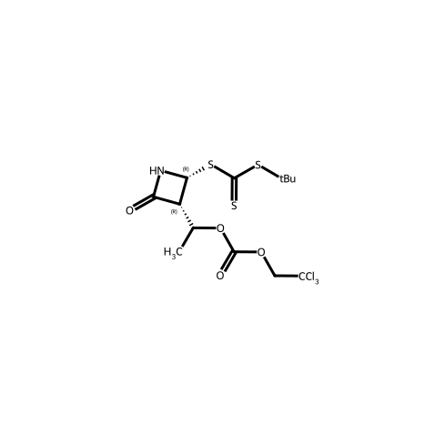 CC(OC(=O)OCC(Cl)(Cl)Cl)[C@@H]1C(=O)N[C@@H]1SC(=S)SC(C)(C)C